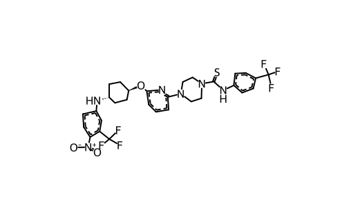 O=[N+]([O-])c1ccc(N[C@H]2CC[C@H](Oc3cccc(N4CCN(C(=S)Nc5ccc(C(F)(F)F)cc5)CC4)n3)CC2)cc1C(F)(F)F